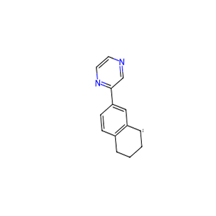 [C]1CCCc2ccc(-c3cnccn3)cc21